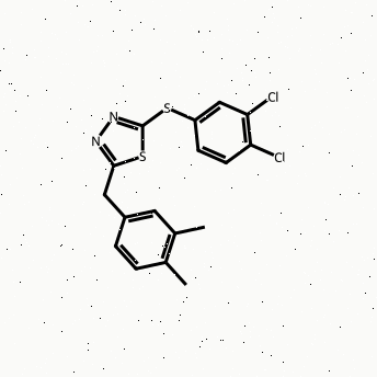 Cc1ccc(Cc2nnc(Sc3ccc(Cl)c(Cl)c3)s2)cc1C